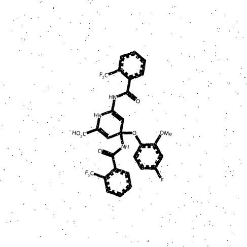 COc1cc(F)ccc1OC1(NC(=O)c2ccccc2C(F)(F)F)C=C(NC(=O)c2ccccc2C(F)(F)F)NC(C(=O)O)=C1